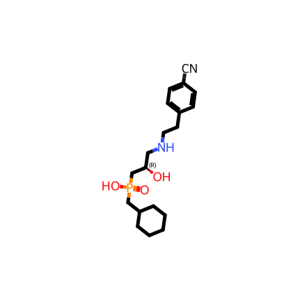 N#Cc1ccc(CCNC[C@@H](O)CP(=O)(O)CC2CCCCC2)cc1